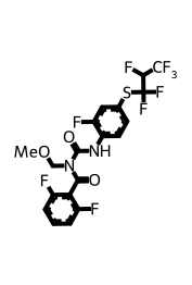 COCN(C(=O)Nc1ccc(SC(F)(F)C(F)C(F)(F)F)cc1F)C(=O)c1c(F)cccc1F